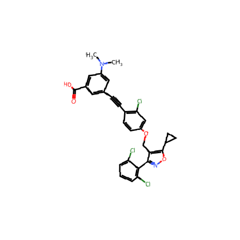 CN(C)c1cc(C#Cc2ccc(OCc3c(-c4c(Cl)cccc4Cl)noc3C3CC3)cc2Cl)cc(C(=O)O)c1